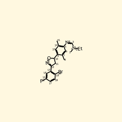 CCN(C)/C=N\c1cc(C)c(C2CC(c3cc(F)ccc3Br)=NO2)cc1C